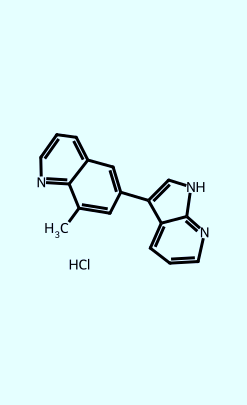 Cc1cc(-c2c[nH]c3ncccc23)cc2cccnc12.Cl